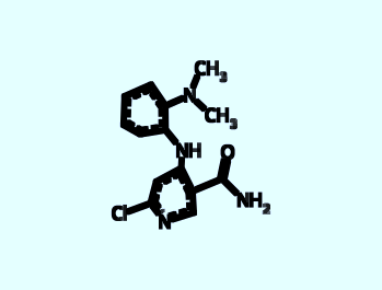 CN(C)c1ccccc1Nc1cc(Cl)ncc1C(N)=O